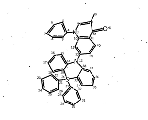 Cc1cn(-c2ccccc2)c2cc(N3c4ccccc4S(c4ccccc4)(c4ccccc4)c4ccccc43)ccc2c1=O